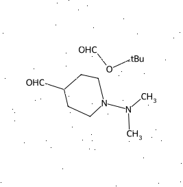 CC(C)(C)OC=O.CN(C)N1CCC(C=O)CC1